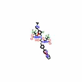 COC(=O)NC(C(=O)N[C@@H](Cc1ccc(-c2ccc(N3CC4CCC(C3)N4C3COC3)nc2)cc1)[C@@H](O)CN(Cc1c(F)cc(-c2ccn(C3CC3)n2)cc1F)NC(=O)[C@@H](NC(=O)OC)C(C)(C)C(F)(F)F)C(C)(C)C(F)(F)F